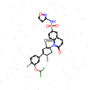 COC1=C(n2c(=O)ccc3cc(S(=O)(=O)Nc4ccon4)ccc32)C[C@@H](F)C(c2ccc(F)c(OC(F)F)c2)=C1